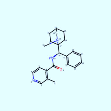 Cc1cnccc1C(=O)N[C@H](c1ccccc1)C12CCC(CC1)CN2C